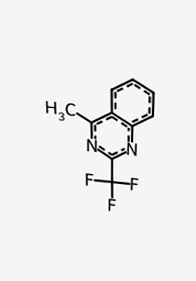 Cc1nc(C(F)(F)F)nc2ccccc12